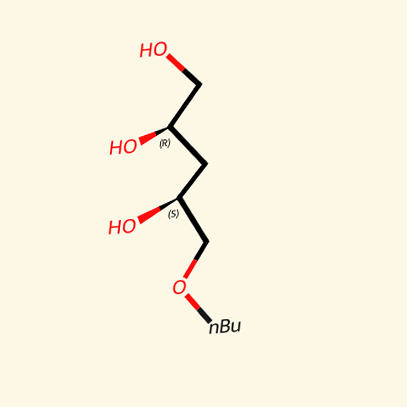 CCCCOC[C@@H](O)C[C@@H](O)CO